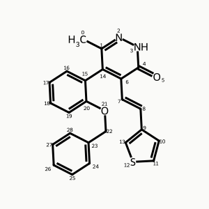 Cc1n[nH]c(=O)c(C=Cc2ccsc2)c1-c1ccccc1OCc1ccccc1